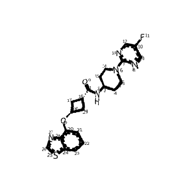 O=C(NC1CCN(c2ncc(F)cn2)CC1)[C@H]1C[C@H](Oc2cccc3scnc23)C1